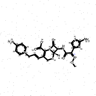 CO/N=C(\C(=O)NC1C(=O)N2C(C(=O)[O-])=C(C=CC[n+]3ccc(N)cc3)CS[C@@H]12)c1csc(N)n1